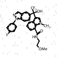 COCCNC(=O)c1cccc2c(C(O)(c3ccc4c(cnn4-c4ccc(F)cc4)c3)C(F)(F)F)cn(C)c12